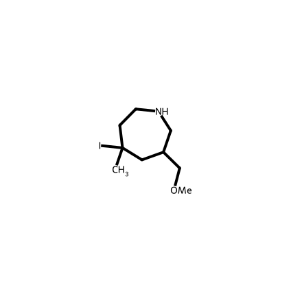 COCC1CNCCC(C)(I)C1